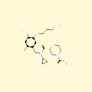 COCCCOc1cc(CN(C(=O)[C@H]2CN(C(=O)OC(C)(C)C)CCO2)C2CC2)c(C)cc1OC